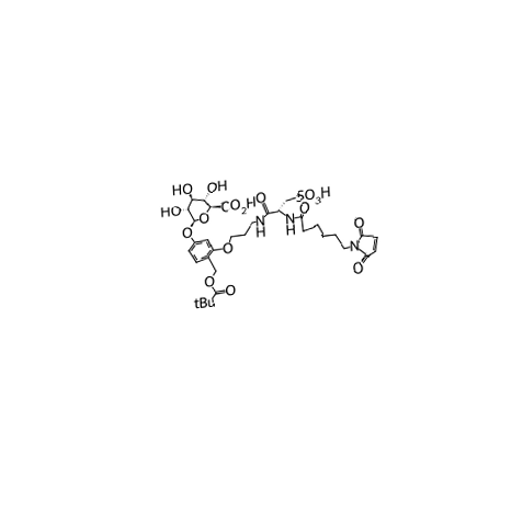 CC(C)(C)C(=O)OCc1ccc(O[C@@H]2O[C@H](C(=O)O)[C@@H](O)[C@H](O)[C@H]2O)cc1OCCCNC(=O)[C@H](CS(=O)(=O)O)NC(=O)CCCCCN1C(=O)C=CC1=O